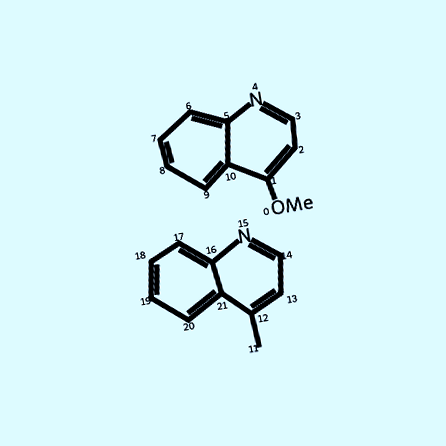 COc1ccnc2ccccc12.Cc1ccnc2ccccc12